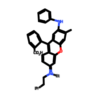 CC/[N+](CCC(C)C)=c1/ccc2c(-c3ccccc3C(=O)O)c3cc(Nc4ccccc4)c(C)cc3oc-2c1